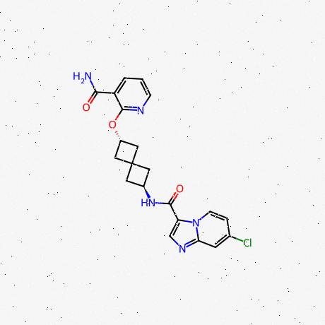 NC(=O)c1cccnc1O[C@H]1CC2(C[C@H](NC(=O)c3cnc4cc(Cl)ccn34)C2)C1